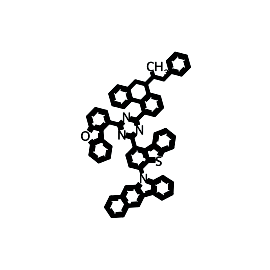 CC(Cc1ccccc1)C1Cc2ccccc2-c2c(-c3nc(-c4cccc5oc6ccccc6c45)nc(-c4ccc(-n5c6ccccc6c6cc7ccccc7cc65)c5sc6ccccc6c45)n3)cccc21